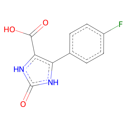 O=C(O)c1[nH]c(=O)[nH]c1-c1ccc(F)cc1